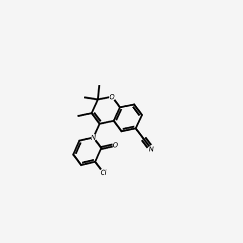 CC1=C(n2cccc(Cl)c2=O)c2cc(C#N)ccc2OC1(C)C